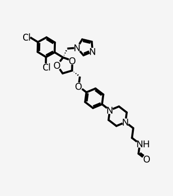 O=CNCCN1CCN(c2ccc(OC[C@@H]3CO[C@@](Cn4ccnc4)(c4ccc(Cl)cc4Cl)O3)cc2)CC1